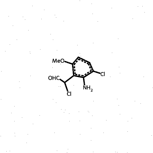 COc1ccc(Cl)c(N)c1C(Cl)C=O